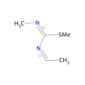 C/C=N\C(=N/C)SC